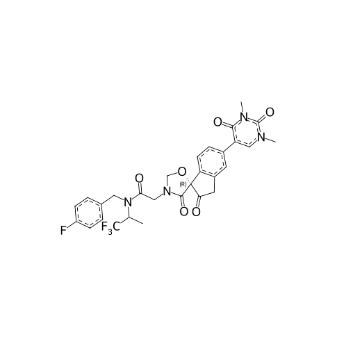 CC(N(Cc1ccc(F)cc1)C(=O)CN1CO[C@]2(C(=O)Cc3cc(-c4cn(C)c(=O)n(C)c4=O)ccc32)C1=O)C(F)(F)F